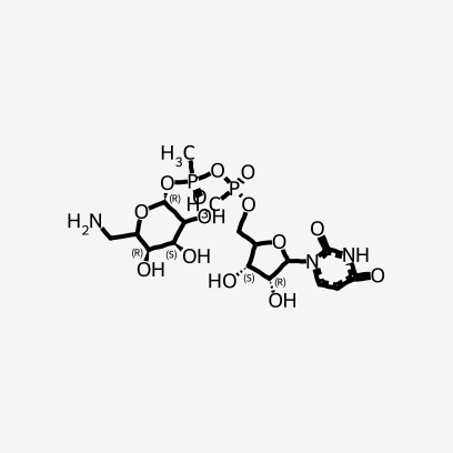 CP(=O)(OCC1OC(n2ccc(=O)[nH]c2=O)[C@H](O)[C@@H]1O)OP(C)(=O)O[C@H]1OC(CN)[C@H](O)[C@H](O)C1O